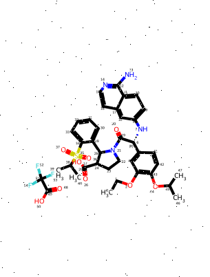 CCOc1cc([C@@H](Nc2ccc3c(N)nccc3c2)C(=O)N2CCC(C(=O)O)C2c2ccccc2S(=O)(=O)C(C)C)ccc1OC(C)C.O=C(O)C(F)(F)F